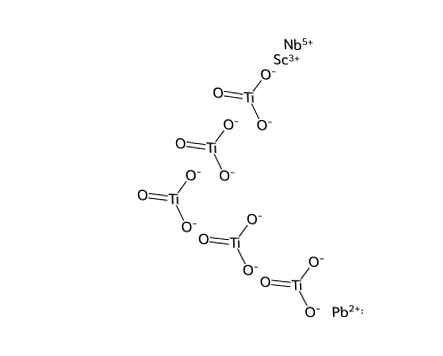 [Nb+5].[O]=[Ti]([O-])[O-].[O]=[Ti]([O-])[O-].[O]=[Ti]([O-])[O-].[O]=[Ti]([O-])[O-].[O]=[Ti]([O-])[O-].[Pb+2].[Sc+3]